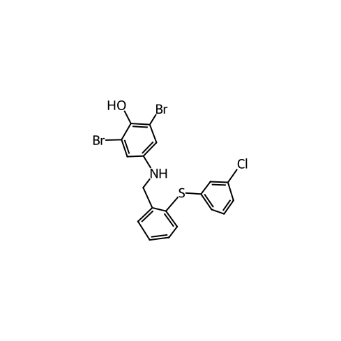 Oc1c(Br)cc(NCc2ccccc2Sc2cccc(Cl)c2)cc1Br